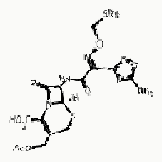 CSCON=C(C(=O)N[C@@H]1C(=O)N2C(C(=O)O)=C(COC(C)=O)CS[C@H]12)c1nsc(N)n1